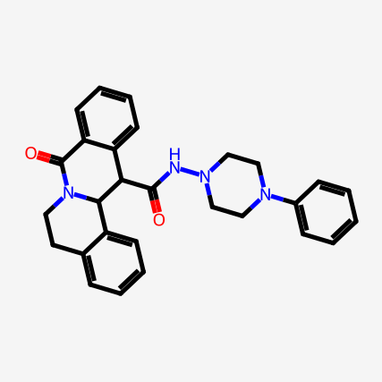 O=C(NN1CCN(c2ccccc2)CC1)C1c2ccccc2C(=O)N2CCc3ccccc3C12